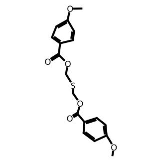 COc1ccc(C(=O)OCSCOC(=O)c2ccc(OC)cc2)cc1